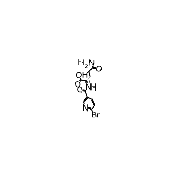 NC(=O)CC[C@H](NC(=O)c1ccc(Br)nc1)C(=O)O